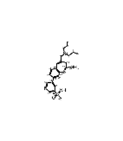 CCCN(CCC)CC1=Cc2ccc(-c3cncc(S(C)(=N)=O)c3)cc2N=C(N)C1